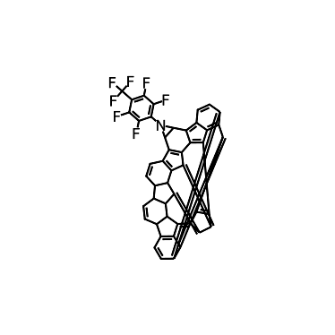 Fc1c(F)c(C(F)(F)F)c(F)c(F)c1N1C2c3c4c5c6c3c3c(c7ccc8c9ccc%10c%11c%12c%13c(c6c6c%13c(c%119)c8c7c36)=C3C5C(C=C4)C4C=CC%10C%12C34)C21